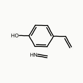 C=Cc1ccc(O)cc1.C=N